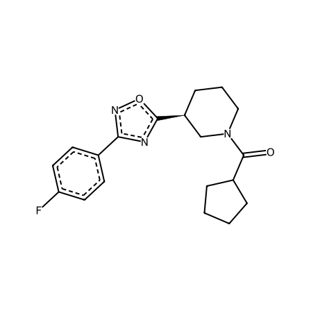 O=C(C1CCCC1)N1CCC[C@H](c2nc(-c3ccc(F)cc3)no2)C1